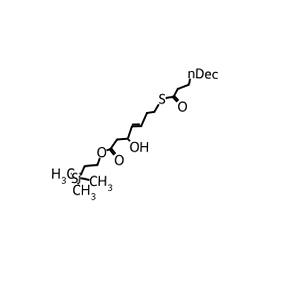 CCCCCCCCCCCCC(=O)SCC/C=C/[C@@H](O)CC(=O)OCC[Si](C)(C)C